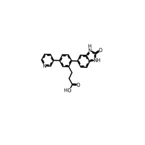 O=C(O)CCc1cc(-c2cccnc2)ccc1-c1ccc2[nH]c(=O)[nH]c2c1